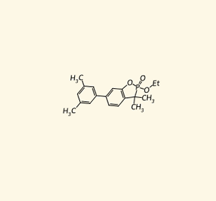 CCOP1(=O)Oc2cc(-c3cc(C)cc(C)c3)ccc2C1(C)C